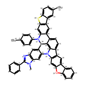 Cn1c(-c2ccccc2)nc2cc3c(cc21)-n1c2cc4oc5ccccc5c4cc2c2ccc4c(c21)B3N(c1ccc(C(C)(C)C)cc1)c1cc2sc3ccc(C(C)(C)C)cc3c2cc1-4